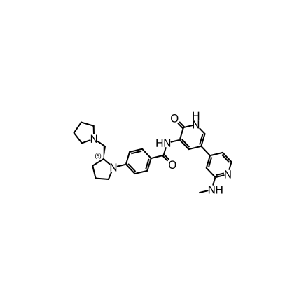 CNc1cc(-c2c[nH]c(=O)c(NC(=O)c3ccc(N4CCC[C@H]4CN4CCCC4)cc3)c2)ccn1